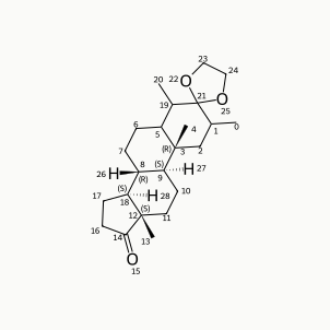 CC1C[C@@]2(C)C(CC[C@@H]3[C@@H]2CC[C@]2(C)C(=O)CC[C@@H]32)C(C)C12OCCO2